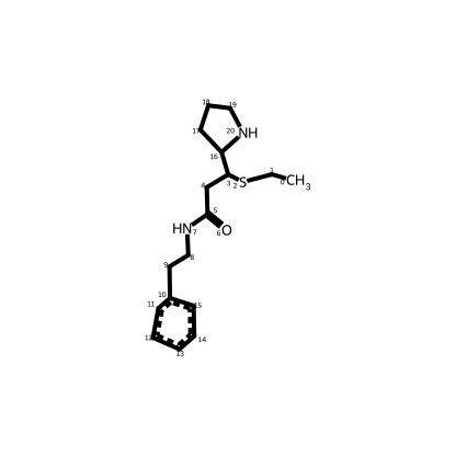 CCSC(CC(=O)NCCc1ccccc1)C1CCCN1